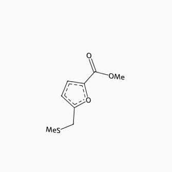 COC(=O)c1ccc(CSC)o1